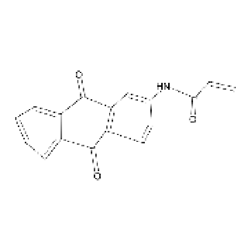 C=CC(=O)Nc1ccc2c(c1)C(=O)c1ccccc1C2=O